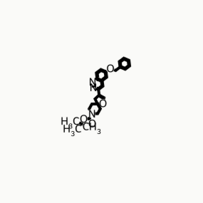 CC(C)(C)OC(=O)N1CCC2(CC1)CC(c1cc3cc(OCc4ccccc4)ccc3nn1)=CO2